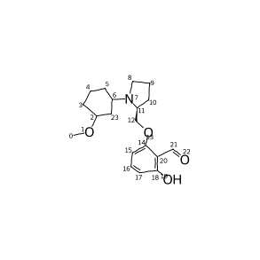 COC1CCCC(N2CCC[C@H]2COc2cccc(O)c2C=O)C1